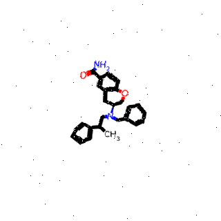 CC(CN(Cc1ccccc1)[C@@H]1COc2ccc(C(N)=O)cc2C1)c1ccccc1